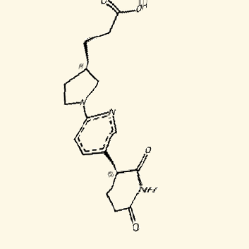 O=C(O)CC[C@@H]1CCN(c2ccc([C@@H]3CCC(=O)NC3=O)cn2)C1